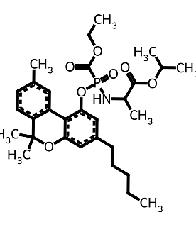 CCCCCc1cc2c(c(OP(=O)(NC(C)C(=O)OC(C)C)C(=O)OCC)c1)-c1cc(C)ccc1C(C)(C)O2